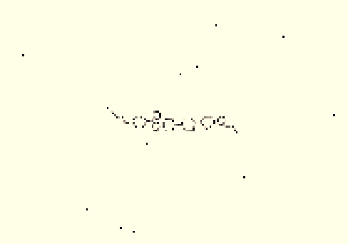 C=CCCC1CCC(C(=O)OC2CCC(C3CCC(C4CCC(OCCC)CC4)CC3)CC2)CC1